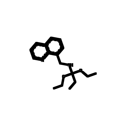 CCOC(CC)(NCc1cccc2cccnc12)OCC